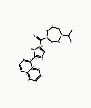 CC(C)N1CCCN(C(=O)c2cnc(-c3cccc4ccccc34)s2)CC1